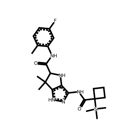 Cc1ccc(F)cc1NC(=O)C1Nc2c(NC(=O)C3([Si](C)(C)C)CCC3)n[nH]c2C1(C)C